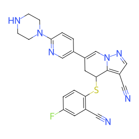 N#Cc1cc(F)ccc1SC1CC(c2ccc(N3CCNCC3)nc2)=Cn2ncc(C#N)c21